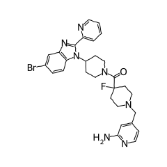 Nc1cc(CN2CCC(F)(C(=O)N3CCC(n4c(-c5ccccn5)nc5cc(Br)ccc54)CC3)CC2)ccn1